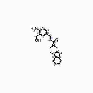 CN(Cc1cc2ccccc2n1C)C(=O)/C=C/c1cnc(N)c(CO)c1